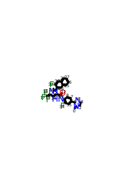 CN1CCN=C1c1ccc(NC(=O)c2cc(C(F)(F)F)nn2-c2cc3ccccc3cc2F)c(F)c1